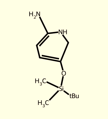 CC(C)(C)[Si](C)(C)OC1=CC=C(N)NC1